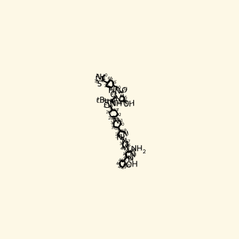 Cc1ncsc1-c1ccc(CNC(=O)[C@@H]2C[C@@H](O)CN2C(=O)[C@@H](NC(=O)C2CCC(N3CCC(c4cnc(N5CCN(c6cc(-c7ccccc7O)nnc6N)CC5)nc4)CC3)CC2)C(C)(C)C)cc1